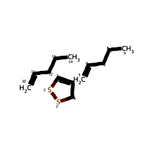 C1=CSSC1.C=CCCC.C=CCCC